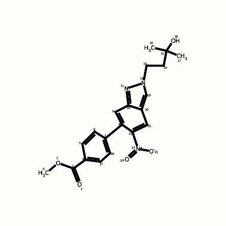 COC(=O)c1ccc(-c2cc3nn(CCC(C)(C)O)cc3cc2[N+](=O)[O-])cc1